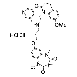 CCN1C(=O)C(C)(C)C(=O)N(C)c2cc(OCCCN(CCN3C(=O)CCc4ccc(OC)cc43)Cc3cccnc3)ccc21.Cl.Cl